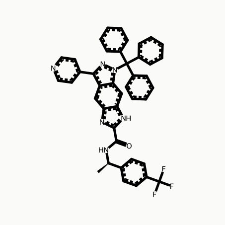 C[C@@H](NC(=O)c1nc2cc3c(-c4ccncc4)nn(C(c4ccccc4)(c4ccccc4)c4ccccc4)c3cc2[nH]1)c1ccc(C(F)(F)F)cc1